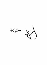 CC(=O)O.CC12CCC(CC1)C2(C)C